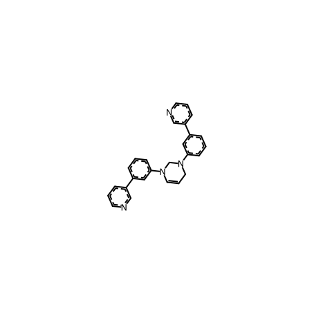 C1=CN(c2cccc(-c3cccnc3)c2)CN(c2cccc(-c3cccnc3)c2)C1